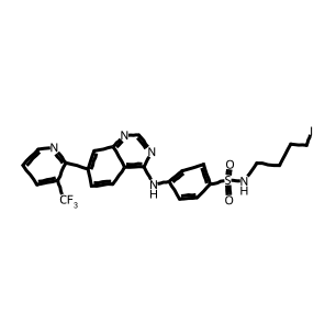 O=S(=O)(NCCCCI)c1ccc(Nc2ncnc3cc(-c4ncccc4C(F)(F)F)ccc23)cc1